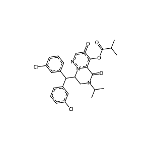 CC(C)C(=O)Oc1c2n(ncc1=O)C(C(c1cccc(Cl)c1)c1cccc(Cl)c1)CN(C(C)C)C2=O